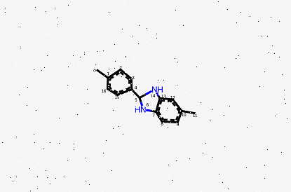 Cc1ccc(C2Nc3ccc(C)cc3N2)cc1